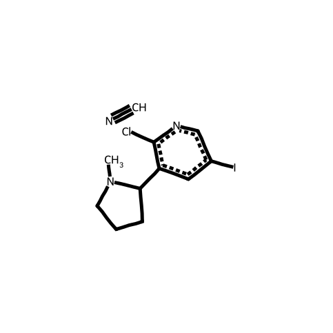 C#N.CN1CCCC1c1cc(I)cnc1Cl